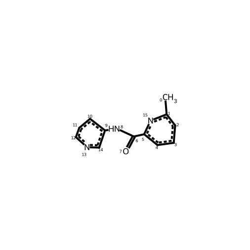 Cc1cccc(C(=O)Nc2cccnc2)n1